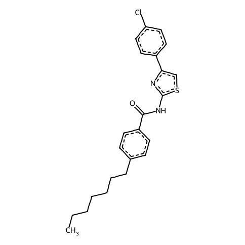 CCCCCCCc1ccc(C(=O)Nc2nc(-c3ccc(Cl)cc3)cs2)cc1